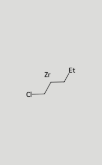 CCCCCCl.[Zr]